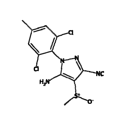 [C-]#[N+]c1nn(-c2c(Cl)cc(C)cc2Cl)c(N)c1[S+](C)[O-]